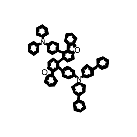 c1ccc(-c2ccc(N(c3ccc(-c4ccccc4)cc3)c3ccc(-c4c(-c5ccc6oc7ccccc7c6c5-c5ccc(N(c6ccccc6)c6ccccc6)cc5)ccc5oc6ccccc6c45)cc3)cc2)cc1